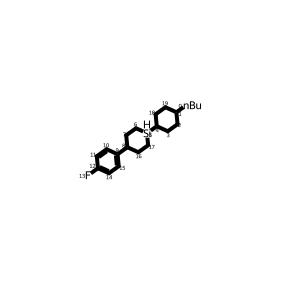 CCCCC1CCC([SiH]2CCC(c3ccc(F)cc3)CC2)CC1